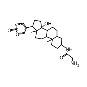 CC12CCC(NC(=O)CN)CC1CCC1C2CCC2(C)C(c3ccc(=O)oc3)CCC12O